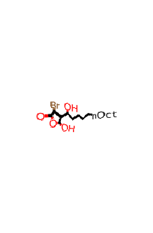 CCCCCCCCCCCCC(O)C1=C(Br)C(=O)OC1O